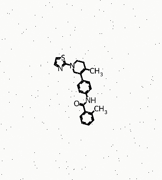 CC1=C(c2ccc(NC(=O)c3ccccc3C)cc2)CN(c2nccs2)CC1